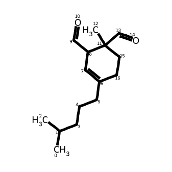 CC(C)CCCC1=CC(C=O)C(C)(C=O)CC1